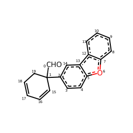 O=CC1(c2ccc3oc4ccccc4c3c2)C=CC=CC1